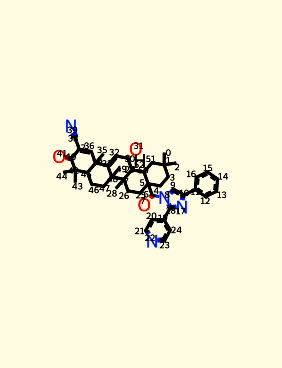 CC1(C)CCC2(C(=O)n3cc(-c4ccccc4)nc3-c3ccncc3)CCC3(C)[C@@H](C(=O)C=C4C5(C)C=C(C#N)C(=O)C(C)(C)C5CCC43C)C2C1